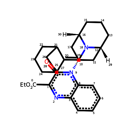 CCOC(=O)c1nc2ccccc2n([C@H]2C[C@H]3CCC[C@@H](C2)N3C=C2C3CCCC2C3)c1=O